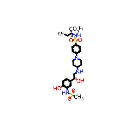 CC(C)C[C@H](NS(=O)(=O)c1ccc(N2CCC(NC[C@H](O)c3ccc(O)c(NS(C)(=O)=O)c3)CC2)cc1)C(=O)O